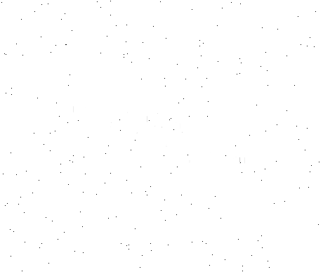 CCCCCCCCCCCC.[CH2]C